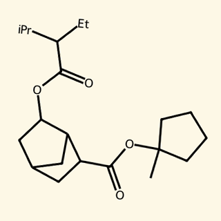 CCC(C(=O)OC1CC2CC(C(=O)OC3(C)CCCC3)C1C2)C(C)C